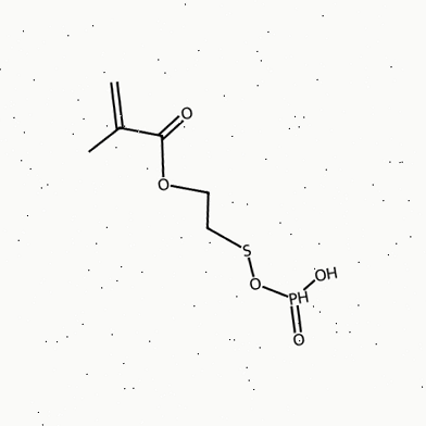 C=C(C)C(=O)OCCSO[PH](=O)O